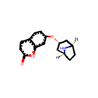 O=c1ccc2ccc(O[C@@H]3C[C@H]4CC[C@@H](C3)N4)cc2o1